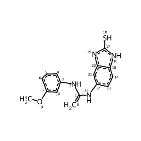 C=C(Nc1cccc(OC)c1)Nc1ccc2[nH]c(S)nc2c1